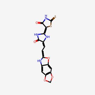 O=C1NC(=S)S/C1=c1/[nH]c(=O)/c(=C\C=C2\Nc3cc4c(cc3O2)OCO4)[nH]1